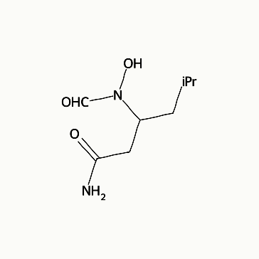 CC(C)CC(CC(N)=O)N(O)C=O